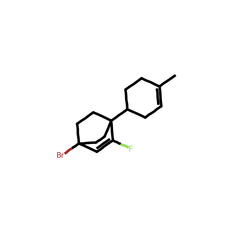 CC1=CCC(C23CCC(Br)(C=C2F)CC3)CC1